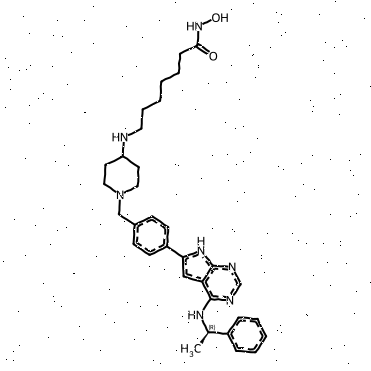 C[C@@H](Nc1ncnc2[nH]c(-c3ccc(CN4CCC(NCCCCCCC(=O)NO)CC4)cc3)cc12)c1ccccc1